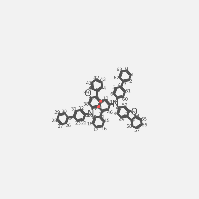 c1ccc(-c2ccc(N(c3cccc(-c4ccccc4N(c4ccc(-c5ccccc5)cc4)c4ccc5c(c4)oc4ccccc45)c3)c3ccc4c(c3)oc3ccccc34)cc2)cc1